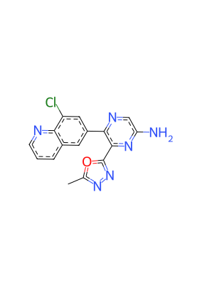 Cc1nnc(-c2nc(N)cnc2-c2cc(Cl)c3ncccc3c2)o1